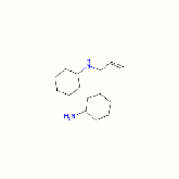 C=CCNC1CCCCC1.NC1CCCCC1